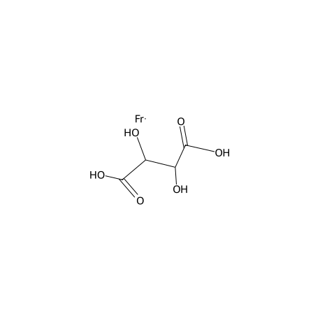 O=C(O)C(O)C(O)C(=O)O.[Fr]